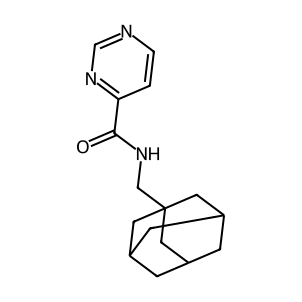 O=C(NCC12CC3CC(CC(C3)C1)C2)c1ccncn1